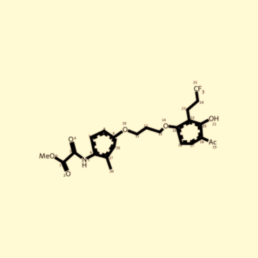 COC(=O)C(=O)Nc1ccc(OCCCOc2ccc(C(C)=O)c(O)c2CCC(F)(F)F)cc1C